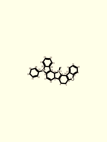 CN1C2=C(CCc3oc4ccccc4c32)C2C=Cc3c(c4ccccc4n3C3=CCCC=C3)C21